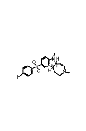 CN1CC[C@@H]2[C@@H](CC1)c1cc(S(=O)(=O)c3ccc(F)cc3)ccc1N2C